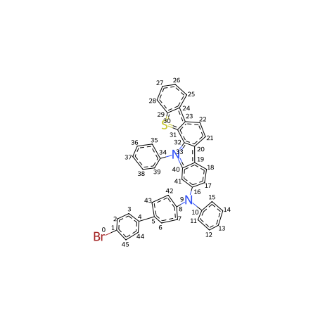 Brc1ccc(-c2ccc(N(c3ccccc3)c3ccc4c5ccc6c7ccccc7sc6c5n(-c5ccccc5)c4c3)cc2)cc1